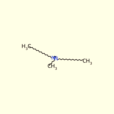 CCCCCCCCCCCCCCCCCn1cc[n+](CCCCCCCCCCCCCCCC)c1CCCCC